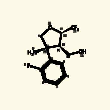 N[C@@]1(c2ccccc2F)CO[C@H](C(F)(F)F)[C@H]1CO